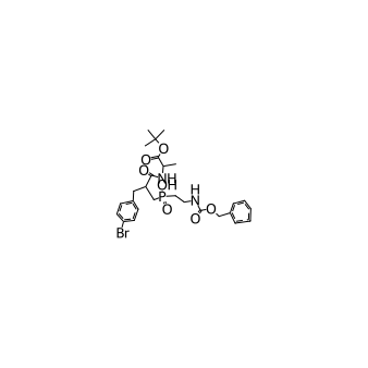 CC(NC(=O)C(Cc1ccc(Br)cc1)CP(=O)(O)CCNC(=O)OCc1ccccc1)C(=O)OC(C)(C)C